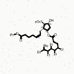 CCCCCCCC[C@@H]1[C@@H](C/C=C\CCCC(=O)OC(C)C)[C@@H](OC(=O)CCC(CC)C(CC)C(CC)C(CC)C(CC)C(C)CC)C[C@H]1O